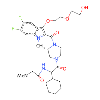 CNCC(=O)NC(C(=O)N1CCN(C(=O)c2c(OCCOCCO)c3cc(F)c(F)cc3n2C)CC1)C1CCCCC1